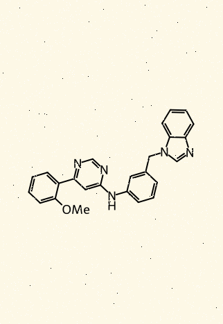 COc1ccccc1-c1cc(Nc2cccc(Cn3cnc4ccccc43)c2)ncn1